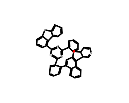 C1=CC2Oc3cc(-c4ccccc4-c4nc(-c5ccccc5)nc(-c5cccc6oc7ccccc7c56)n4)c4ccccc4c3C2C=N1